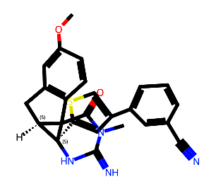 COc1ccc2c(c1)C[C@H]1C23C(=O)N(C)C(=N)N[C@@]13c1cc(-c2cccc(C#N)c2)cs1